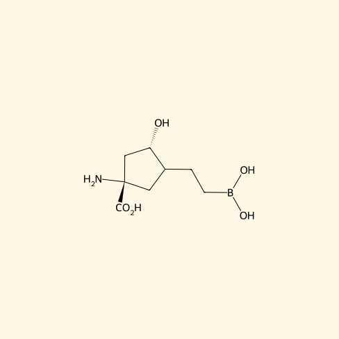 N[C@@]1(C(=O)O)CC(CCB(O)O)[C@@H](O)C1